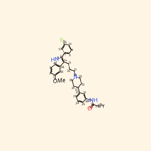 COc1ccc2[nH]c(-c3cccc(F)c3)c(CCCN3CCC(c4cccc(NC(=O)C(C)C)c4)CC3)c2c1